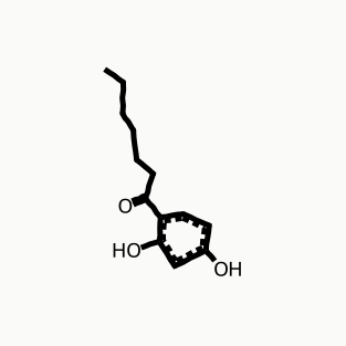 CCCCCCC(=O)c1ccc(O)cc1O